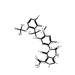 [2H]C([2H])([2H])Oc1ccc(F)c(F)c1C([2H])([2H])Oc1cc(-n2c(=O)[nH]c3csc(C(=O)O)c3c2=O)c(F)cc1OC